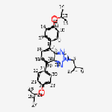 CC(C)Cn1nc2c(-c3ccc(OC(C)C)cc3)ccc(-c3ccc(OC(C)C)cc3)c2n1